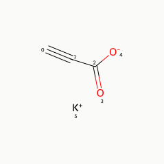 C#CC(=O)[O-].[K+]